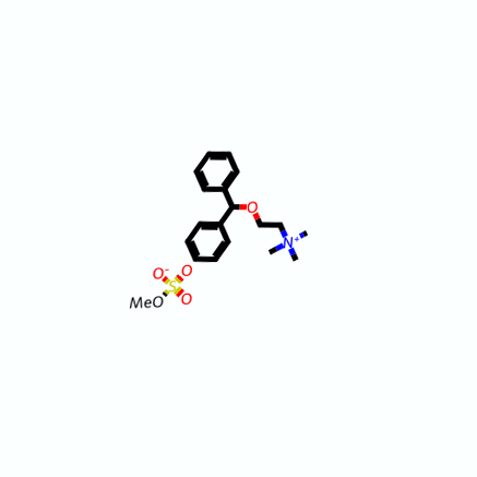 COS(=O)(=O)[O-].C[N+](C)(C)CCOC(c1ccccc1)c1ccccc1